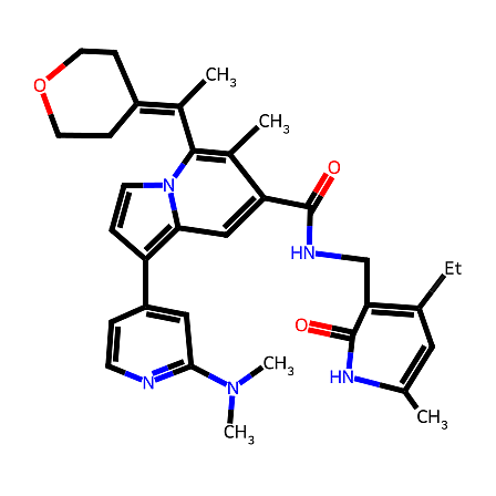 CCc1cc(C)[nH]c(=O)c1CNC(=O)c1cc2c(-c3ccnc(N(C)C)c3)ccn2c(C(C)=C2CCOCC2)c1C